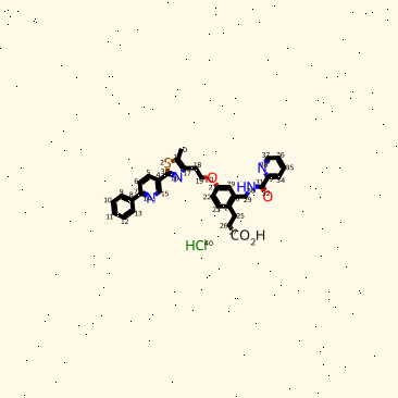 Cc1sc(-c2ccc(-c3ccccc3)nc2)nc1CCOc1ccc(CCC(=O)O)c(CNC(=O)c2ccccn2)c1.Cl